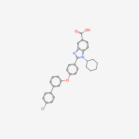 O=C(O)c1ccc2c(c1)nc(-c1ccc(Oc3cccc(-c4ccc(Cl)cc4)c3)cc1)n2C1CCCCC1